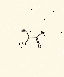 CCCCN(CCCC)C(=O)Br